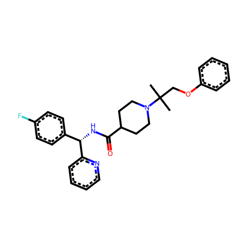 CC(C)(COc1ccccc1)N1CCC(C(=O)N[C@@H](c2ccc(F)cc2)c2ccccn2)CC1